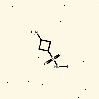 NC1CC(S(=O)(=O)NI)C1